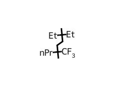 CCCC(C)(CCC(C)(CC)CC)C(F)(F)F